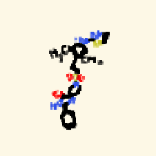 Cc1cc(Nc2nccs2)cc(C)c1C=CS(=O)(=O)N1CCC2(CC1)N=C(C1CCCCC1)NC2=O